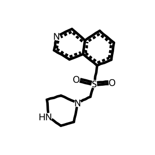 O=S(=O)(CN1CCNCC1)c1cccc2cnccc12